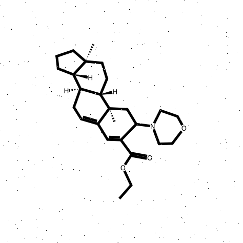 CCOC(=O)C1=CC2=CC[C@H]3[C@@H]4CCC[C@@]4(C)CC[C@@H]3[C@@]2(C)CC1N1CCOCC1